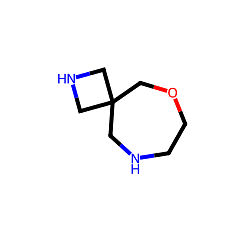 C1COCC2(CN1)CNC2